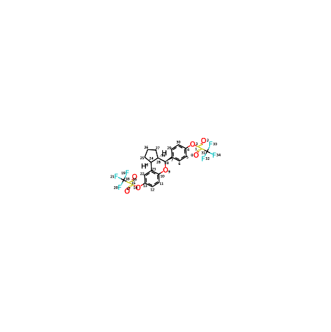 O=S(=O)(Oc1ccc([C@H]2Oc3ccc(OS(=O)(=O)C(F)(F)F)cc3[C@H]3CCC[C@H]32)cc1)C(F)(F)F